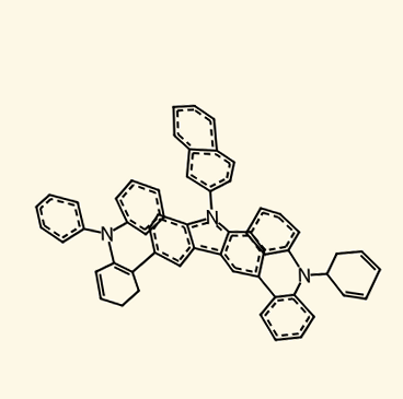 C1=CCC(N(c2ccccc2)c2ccccc2-c2ccc3c(c2)c2cc(C4=C(N(c5ccccc5)c5ccccc5)C=CCC4)ccc2n3-c2ccc3ccccc3c2)C=C1